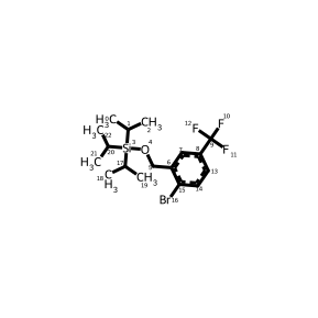 CC(C)[Si](OCc1cc(C(F)(F)F)ccc1Br)(C(C)C)C(C)C